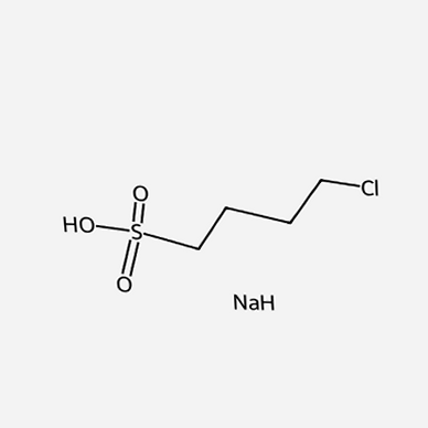 O=S(=O)(O)CCCCCl.[NaH]